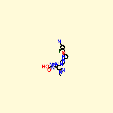 CCn1cncc1Cc1c(CN2CCN(c3cccc(OCc4ccc(C#N)cc4F)n3)CC2)nn2cnc(C(=O)O)nc12